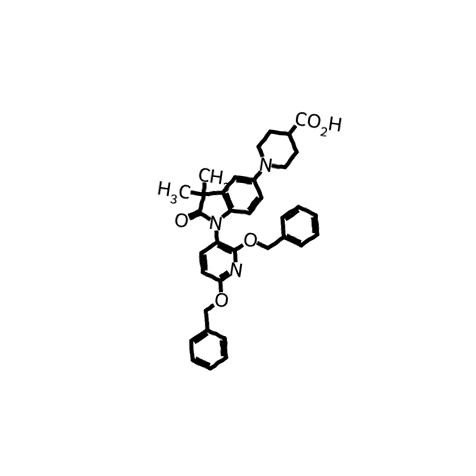 CC1(C)C(=O)N(c2ccc(OCc3ccccc3)nc2OCc2ccccc2)c2ccc(N3CCC(C(=O)O)CC3)cc21